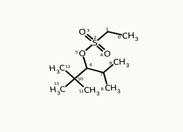 CCS(=O)(=O)OC(C(C)C)C(C)(C)C